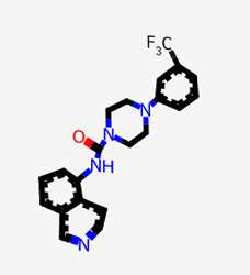 O=C(Nc1cccc2cnccc12)N1CCN(c2cccc(C(F)(F)F)c2)CC1